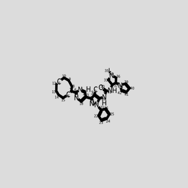 Cc1c(-c2cnc(C3CCCCCCCCC3)nc2)nn(-c2ccccc2)c1NC(=O)NC1CN(I)CC1n1cccc1